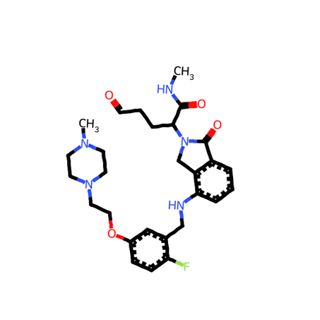 CNC(=O)C(CCC=O)N1Cc2c(NCc3cc(OCCN4CCN(C)CC4)ccc3F)cccc2C1=O